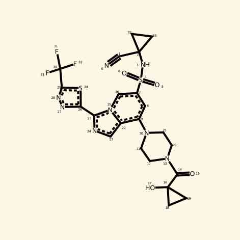 N#CC1(NS(=O)(=O)c2cc(N3CCN(C(=O)C4(O)CC4)CC3)c3cnc(-c4nnc(C(F)(F)F)s4)n3c2)CC1